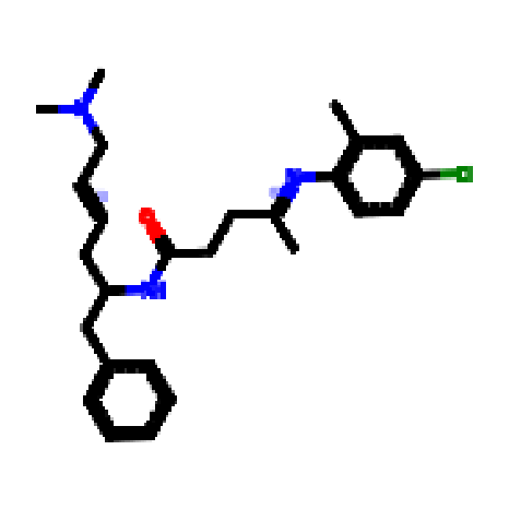 C/C(CCC(=O)NC(C/C=C/CN(C)C)Cc1ccccc1)=N\c1ccc(Cl)cc1C